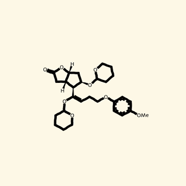 COc1ccc(OCC/C=C(/OC2CCCCO2)[C@H]2[C@@H]3CC(=O)O[C@@H]3C[C@H]2OC2CCCCO2)cc1